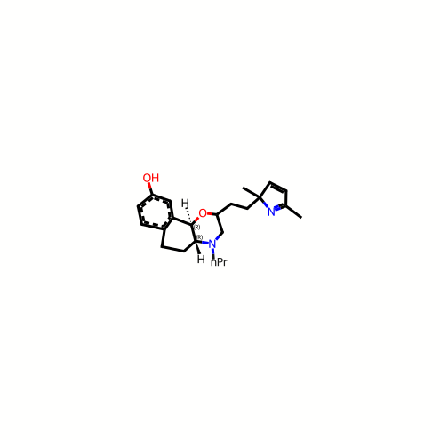 CCCN1CC(CCC2(C)C=CC(C)=N2)O[C@@H]2c3cc(O)ccc3CC[C@H]21